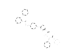 CC(C)(C)c1ccc(-c2ccccc2C(=O)Nc2ccc(-c3csc(C(=O)N[C@H](C(=O)N4CCCC4)c4ccccc4)n3)cc2)cc1